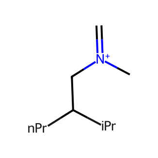 C=[N+](C)CC(CCC)C(C)C